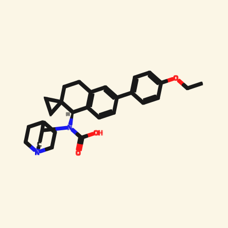 CCOc1ccc(-c2ccc3c(c2)CCC2(CC2)[C@@H]3N(C(=O)O)C2CN3CCC2CC3)cc1